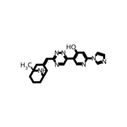 C[C@@]12CCCC(C/C(=C\c3ncc(-c4cnc(-n5ccnc5)cc4O)nn3)C1)N2